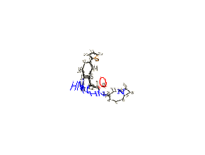 O=C(N[C@@H]1CCCC2CCN2C1)c1n[nH]c2ccc(-c3cccs3)cc12